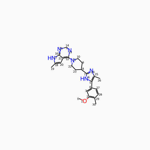 COc1cc(-c2[nH]c(C3CCN(c4ncnc5[nH]c(C)cc45)CC3)nc2C)ccc1C